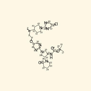 C[C@H](CCOc1cnc(N2C[C@H](NC(=O)OC(C)(C)C)[C@H](N3CCCCC3=O)C2)nc1)C1CCN(c2ncc(Cl)cn2)CC1